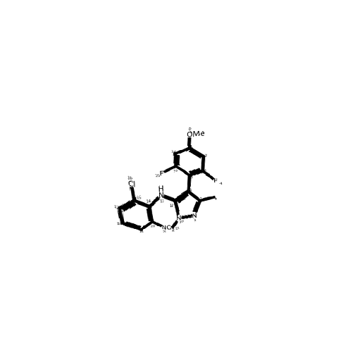 COc1cc(F)c(-c2c(C)nn(C)c2Nc2c(Cl)cccc2[N+](=O)[O-])c(F)c1